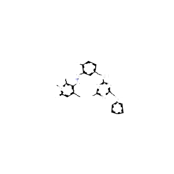 CCn1c(O)c(/N=N/c2cc(Nc3nc(Cl)nc(Nc4ccccc4)n3)ccc2S(=O)(=O)O)c(C)cc1=O